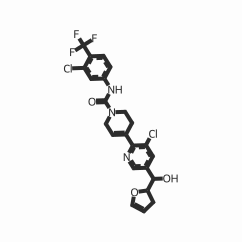 O=C(Nc1ccc(C(F)(F)F)c(Cl)c1)N1CC=C(c2ncc(C(O)C3CC=CO3)cc2Cl)CC1